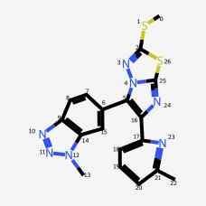 CSc1nn2c(-c3ccc4nnn(C)c4c3)c(-c3cccc(C)n3)nc2s1